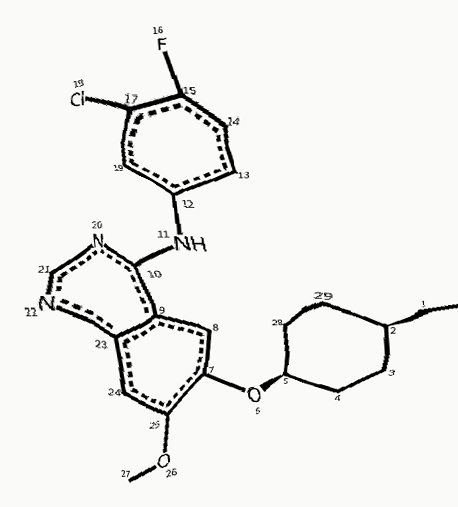 CC[C@H]1CC[C@@H](Oc2cc3c(Nc4ccc(F)c(Cl)c4)ncnc3cc2OC)CC1